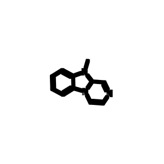 CN1c2ccccc2N2C=CN=CC12